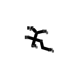 CCOC(C)(S)N(C)C